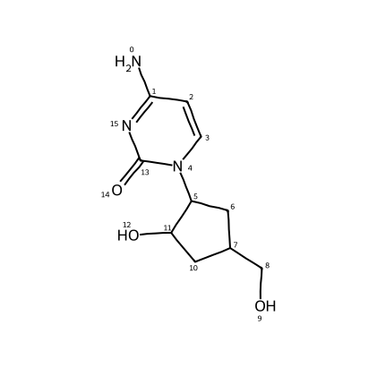 Nc1ccn(C2CC(CO)CC2O)c(=O)n1